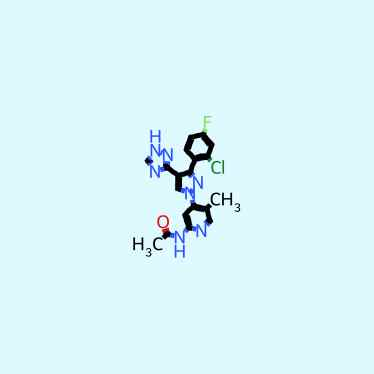 CC(=O)Nc1cc(-n2cc(-c3nc[nH]n3)c(-c3ccc(F)cc3Cl)n2)c(C)cn1